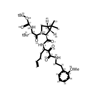 C=CCCC(NC(=O)[C@@H]1[C@@H]2[C@H](CN1C(=O)[C@@H](NC(=O)OC(C)(C)C)C(C)(C)C)C2(C)C)C(=O)C(=O)NCCc1ccccc1OC